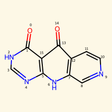 O=c1[nH]cnc2[nH]c3cnccc3c(=O)c12